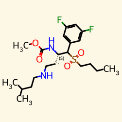 CCCCS(=O)(=O)C(c1cc(F)cc(F)c1)[C@H]([CH]CNCCC(C)C)NC(=O)OC